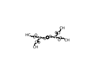 C#CCCOC(=O)CCN(CCCOc1ccc(OCCCN(CCC(=O)OCCC#C)CCC(=O)OCCC#C)cc1)CCC(=O)OCCC#C